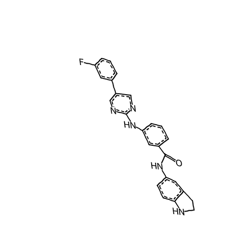 O=C(Nc1ccc2c(c1)CCN2)c1cccc(Nc2ncc(-c3cccc(F)c3)cn2)c1